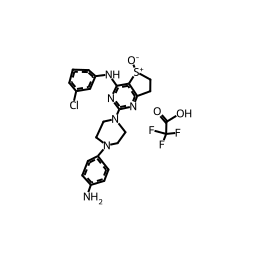 Nc1ccc(N2CCN(c3nc4c(c(Nc5cccc(Cl)c5)n3)[S+]([O-])CC4)CC2)cc1.O=C(O)C(F)(F)F